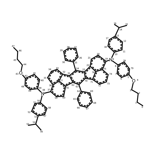 CCCCOc1ccc(N(c2ccc(C(C)C)cc2)c2ccc3c4c(-c5ccccc5)c5c6cccc7c(N(c8ccc(OCCCC)cc8)c8ccc(C(C)C)cc8)ccc(c5c(-c5ccccc5)c4c4cccc2c43)c76)cc1